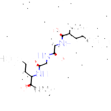 CNC(=O)C(CCC(=O)O)NC(=O)CNC(=O)CNC(=O)C(CCC(=O)O)NC